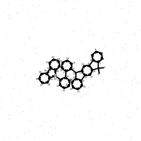 CC1(C)c2ccccc2-c2cc3c(cc21)-c1ccccc1C3c1ccccc1-c1ccccc1-n1c2ccccc2c2ccccc21